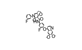 COc1cc2nccc(Oc3ccc(NC(=O)c4c5c(cn(-c6cccc(F)c6)c4=O)CCO5)cc3F)c2cc1OC